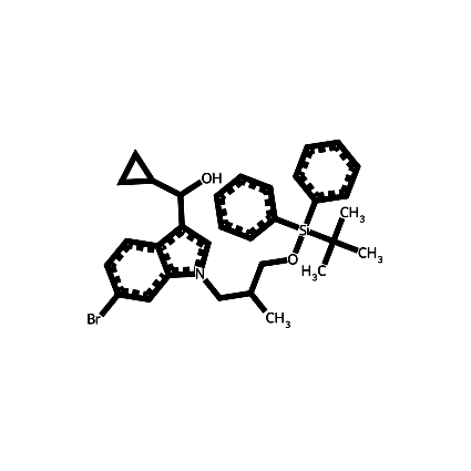 CC(CO[Si](c1ccccc1)(c1ccccc1)C(C)(C)C)Cn1cc(C(O)C2CC2)c2ccc(Br)cc21